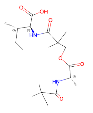 CC[C@H](C)[C@H](NC(=O)C(C)(C)COC(=O)[C@H](C)NC(=O)C(C)(C)C)C(=O)O